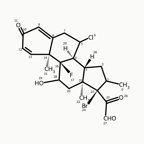 CC1C[C@H]2[C@@H]3C(Cl)CC4=CC(=O)C=C[C@]4(C)[C@@]3(F)C(O)C[C@]2(C)[C@@]1(Br)C(=O)C=O